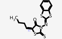 CCC/C=C1/SC(=S)N(N=c2sc3ccccc3s2)C1=O